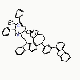 CCC1/C(c2ccccc2)=C/CC(C)/C(CCC2c3ccccc3-c3ccc4c(c32)-c2ccccc2CCC4c2cccc(-c3cccc4c3Cc3ccccc3-4)c2)=N\C1c1ccccc1